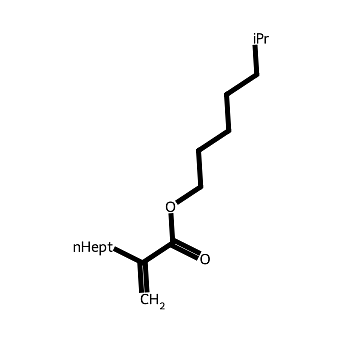 C=C(CCCCCCC)C(=O)OCCCCCC(C)C